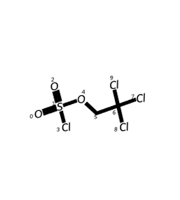 O=S(=O)(Cl)OCC(Cl)(Cl)Cl